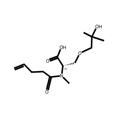 C=CCCC(=O)N(C)[C@@H](COCC(C)(C)O)C(=O)O